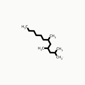 [CH2]C(C)CC(C)CC(C)CCCCCC